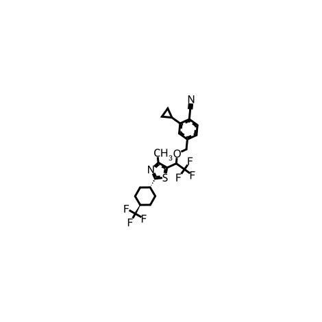 Cc1nc([C@H]2CC[C@H](C(F)(F)F)CC2)sc1C(OCc1ccc(C#N)c(C2CC2)c1)C(F)(F)F